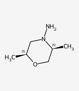 C[C@H]1CN(N)[C@@H](C)CO1